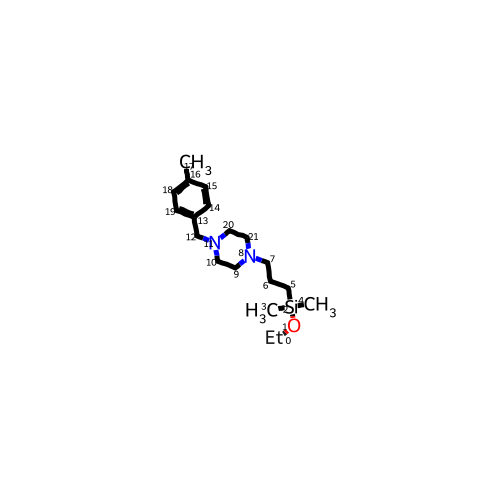 CCO[Si](C)(C)CCCN1CCN(Cc2ccc(C)cc2)CC1